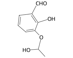 CC(O)Oc1cccc(C=O)c1O